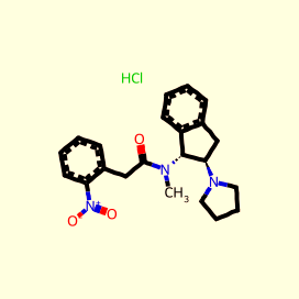 CN(C(=O)Cc1ccccc1[N+](=O)[O-])[C@@H]1c2ccccc2C[C@H]1N1CCCC1.Cl